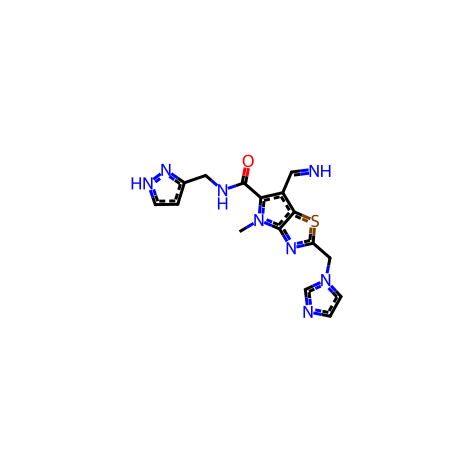 Cn1c(C(=O)NCc2cc[nH]n2)c(C=N)c2sc(Cn3ccnc3)nc21